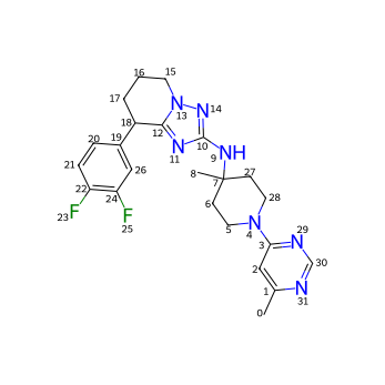 Cc1cc(N2CCC(C)(Nc3nc4n(n3)CCCC4c3ccc(F)c(F)c3)CC2)ncn1